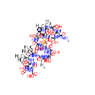 CC[C@H](C)[C@H](NC(=O)[C@H](CC(=O)O)NC(=O)[C@H](CCC(=O)O)NNCC=O)C(=O)N[C@H](C(=O)NCC(=O)N[C@@H](C)C(=O)N[C@@H](CO)C(=O)N[C@@H](CO)C(=O)N[C@@H](CC(=O)O)C(=O)C1N[C@@H](CO)C(=O)N[C@@H]([C@@H](C)O)C(=O)C(N[C@@H](Cc2ccccc2)C(=O)N[C@H](C(=O)N[C@@H](CO)C(=O)N[C@@H](CCC(N)=O)C(=O)N[C@@H](CO)C(C)=O)C(C)C)SS1)[C@@H](C)CC